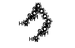 O=C(NCc1cn[nH]c1)Nc1ccc(S(=O)(=O)c2cccc(-c3ccc(-c4ccc(-c5ccccc5S(=O)(=O)c5ccc(NC(=O)NCc6cn[nH]c6)cc5)cc4)cc3)c2)cc1